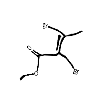 COC(=O)/C(Br)=C(/C)Br